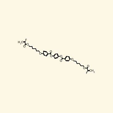 C=C(F)C(=O)OCCCCCCOc1ccc(C(=O)Oc2ccc(OC(=O)c3ccc(OCCCCCCOC(=O)C(=C)F)cc3)cc2)cc1